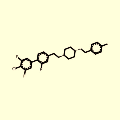 Cc1ccc(CC[C@H]2CC[C@H](CCc3ccc(-c4cc(F)c(Cl)c(F)c4)c(F)c3)CC2)cc1